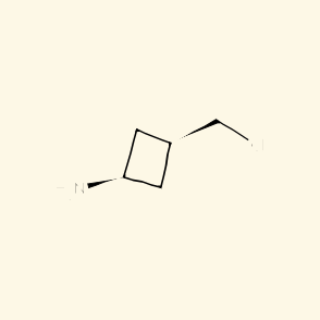 N[C@H]1C[C@@H](CCl)C1